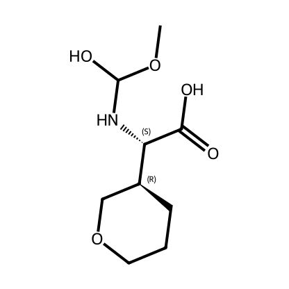 COC(O)N[C@H](C(=O)O)[C@H]1CCCOC1